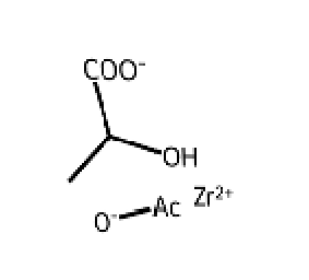 CC(=O)[O-].CC(O)C(=O)[O-].[Zr+2]